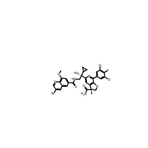 COc1cc(C(=O)NC[C@](O)(c2cc3c(c(-c4cc(Cl)c(F)c(Cl)c4)n2)OC[C@]3(C)C(N)=O)C2CC2)cc2cc(Br)cnc12